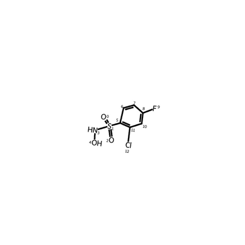 O=S(=O)(NO)c1ccc(F)cc1Cl